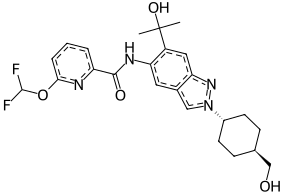 CC(C)(O)c1cc2nn([C@H]3CC[C@H](CO)CC3)cc2cc1NC(=O)c1cccc(OC(F)F)n1